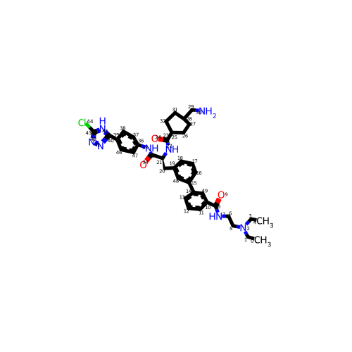 CCN(CC)CCNC(=O)c1cccc(-c2cccc(C[C@H](NC(=O)C3CCC(CN)CC3)C(=O)Nc3ccc(-c4nnc(Cl)[nH]4)cc3)c2)c1